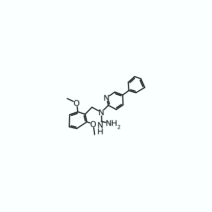 COc1cccc(OC)c1CN(C(=N)N)c1ccc(-c2ccccc2)cn1